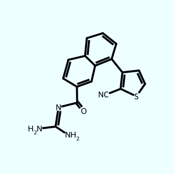 N#Cc1sccc1-c1cccc2ccc(C(=O)N=C(N)N)cc12